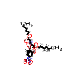 CCCCCCOC(=O)/C=C(\Oc1ccc([N+](=O)[O-])cc1)C(=O)OCCCCCC